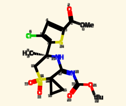 COC(=O)c1cc(Cl)c([C@]2(C)CS(=O)(=O)C3(CC3)/C(=N\C(=O)OC(C)(C)C)N2)s1